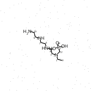 CCN(CCNCCNCCN)CP(=O)(O)O